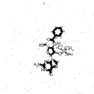 CC(C)(C)[Si](C)(C)O[C@@H]1[C@H](OC(=O)c2ccccc2)[C@@H](CO)O[C@H]1n1cnc2c(=O)[nH]c(N)nc21